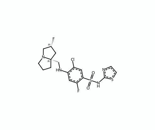 O=S(=O)(Nc1nccs1)c1cc(Cl)c(NC[C@]23CCCN2C[C@H](F)C3)cc1F